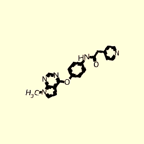 Cn1ccc2c(Oc3ccc(NC(=O)Cc4ccncc4)cc3)ncnc21